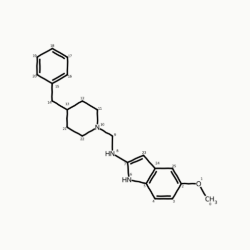 COc1ccc2[nH]c(NCN3CCC(Cc4ccccc4)CC3)cc2c1